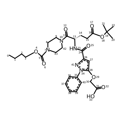 CCCCOC(=O)N1CCN(C(=O)[C@H](CCC(=O)OC(C)(C)C)NC(=O)c2cc(OCC(=O)O)n(-c3ccccc3)n2)CC1